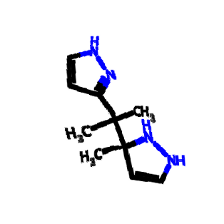 CC(C)(c1cc[nH]n1)[C@@]1(C)C=CNN1